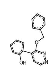 Oc1ccccc1-c1ccnnc1OCc1ccccc1